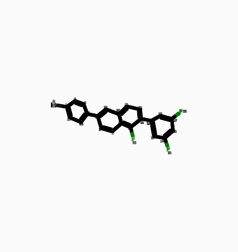 CCc1ccc(-c2ccc3c(F)c(-c4cc(F)cc(F)c4)ccc3c2)cc1